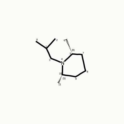 CC(C)CN1[C@H](C)CCC[C@@H]1C